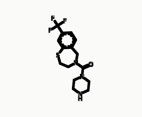 O=C(N1CCNCC1)N1CCSc2cc(C(F)(F)F)ccc2C1